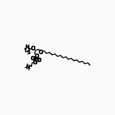 CCCCCCCCCCCCCCCCCCOC[C@@H](COP(=O)([O-])OCC[N+](C)(C)C)Oc1nccs1